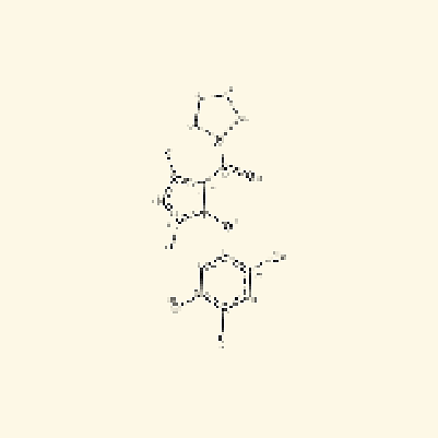 Cc1nn(C)c(Oc2cc(O)c(Cl)cc2Cl)c1C(=O)N1CCCC1